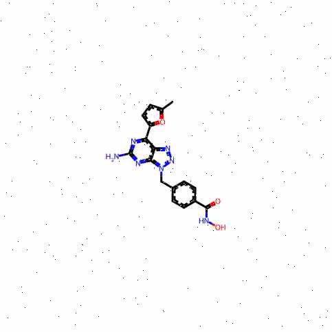 Cc1ccc(-c2nc(N)nc3c2nnn3Cc2ccc(C(=O)NO)cc2)o1